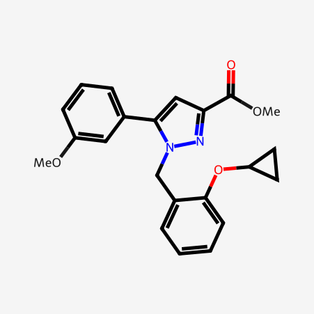 COC(=O)c1cc(-c2cccc(OC)c2)n(Cc2ccccc2OC2CC2)n1